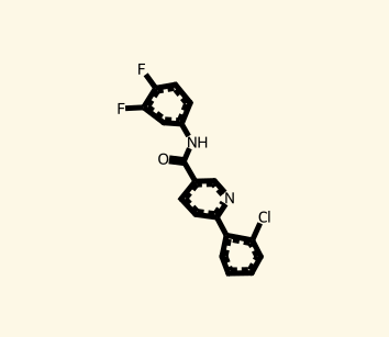 O=C(Nc1ccc(F)c(F)c1)c1ccc(-c2ccccc2Cl)nc1